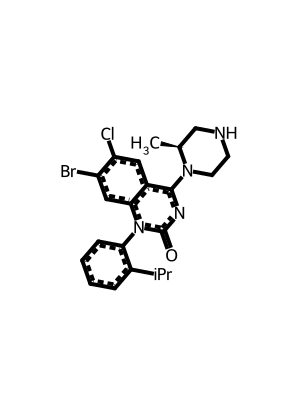 CC(C)c1ccccc1-n1c(=O)nc(N2CCNC[C@@H]2C)c2cc(Cl)c(Br)cc21